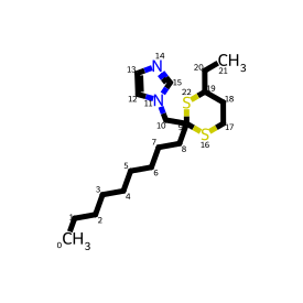 CCCCCCCCCC1(Cn2ccnc2)SCCC(CC)S1